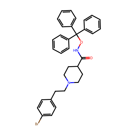 O=C(NOC(c1ccccc1)(c1ccccc1)c1ccccc1)C1CCN(CCc2ccc(Br)cc2)CC1